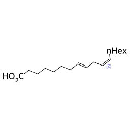 CCCCCC/C=C\CC=CCCCCCCC(=O)O